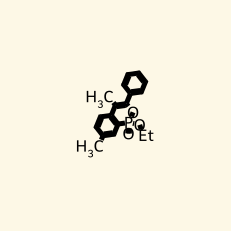 CCOP1(=O)OC(c2ccccc2)=C(C)c2ccc(C)cc21